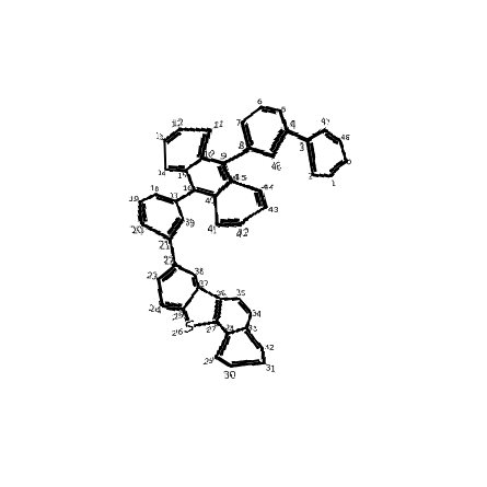 c1ccc(-c2cccc(-c3c4ccccc4c(-c4cccc(-c5ccc6sc7c8ccccc8ccc7c6c5)c4)c4ccccc34)c2)cc1